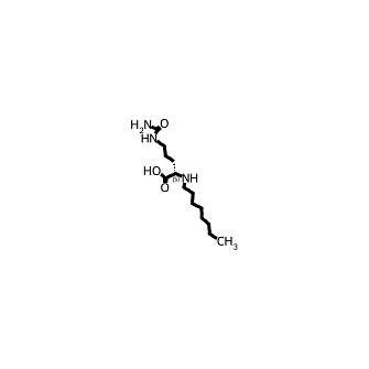 CCCCCCCCN[C@@H](CCCNC(N)=O)C(=O)O